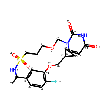 CC(NS(=O)(=O)CCCOCn1ccc(=O)[nH]c1=O)c1ccc(F)c(OCC2CC2)c1